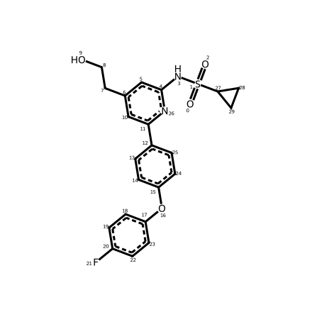 O=S(=O)(Nc1cc(CCO)cc(-c2ccc(Oc3ccc(F)cc3)cc2)n1)C1CC1